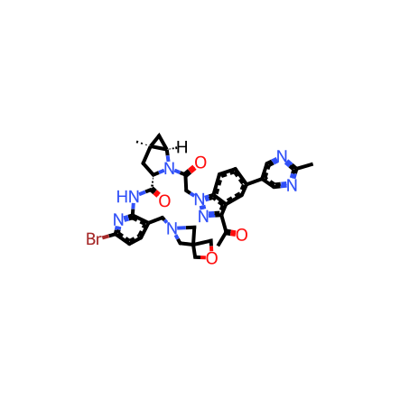 CC(=O)c1nn(CC(=O)N2[C@H](C(=O)Nc3nc(Br)ccc3CN3CC4(COC4)C3)C[C@@]3(C)C[C@@H]23)c2ccc(-c3cnc(C)nc3)cc12